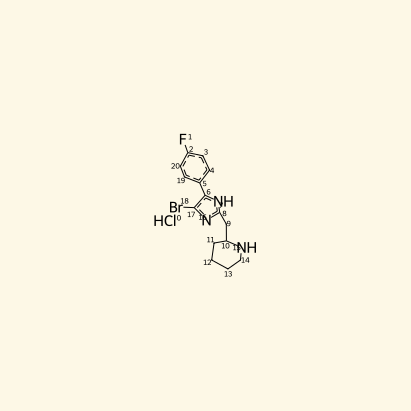 Cl.Fc1ccc(-c2[nH]c(CC3CCCCN3)nc2Br)cc1